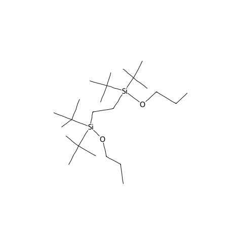 CCCO[Si](CC[Si](OCCC)(C(C)(C)C)C(C)(C)C)(C(C)(C)C)C(C)(C)C